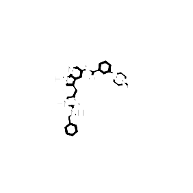 CN1CCN(c2cccc(C(=O)Nc3cnc4[nH]cc(C=C5N=C(NCc6ccccc6)NC5=O)c4c3)c2)CC1